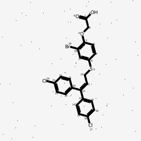 O=C(O)COc1ccc(SCC=C(c2ccc(Cl)cc2)c2ccc(Cl)cc2)cc1Br